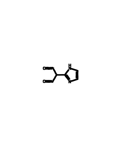 O=[C]C(C=O)c1ncc[nH]1